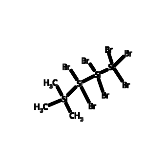 C[Si](C)(C)[Si](Br)(Br)[Si](Br)(Br)[Si](Br)(Br)Br